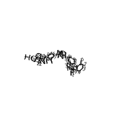 Cc1ccccc1-c1ccc(-c2nc(-c3ccc([C@H](C)N[C@@H](C)C(=O)O)cc3)no2)cc1C(F)(F)F